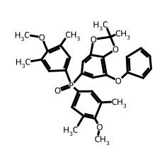 COc1c(C)cc(P(=O)(c2cc(C)c(OC)c(C)c2)c2cc(Oc3ccccc3)c3c(c2)OC(C)(C)O3)cc1C